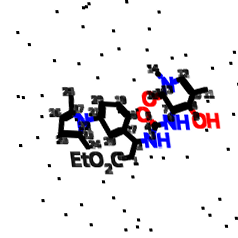 CCOC(=O)CC(NC(=O)Nc1c(O)c(C)cn(C)c1=O)c1cccc(-n2c(C)ccc2C)c1